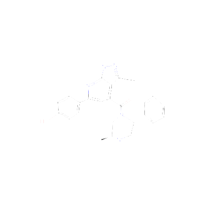 Cc1n[nH]c2nc(-c3ccc(O)cc3)cc(C(=O)N3C[C@H](C)NC[C@H]3c3ccccc3)c12